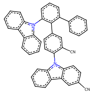 N#Cc1ccc2c(c1)c1ccccc1n2-c1ccc(-c2c(-c3ccccc3)cccc2-n2c3ccccc3c3ccccc32)cc1C#N